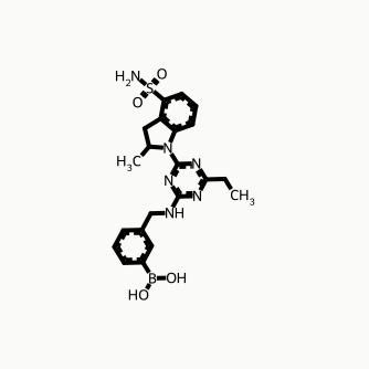 CCc1nc(NCc2cccc(B(O)O)c2)nc(N2c3cccc(S(N)(=O)=O)c3CC2C)n1